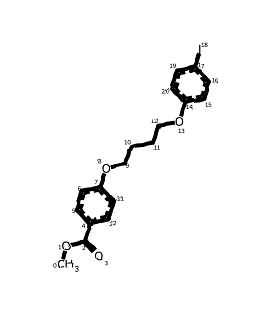 COC(=O)c1ccc(OCCCCOc2ccc(I)cc2)cc1